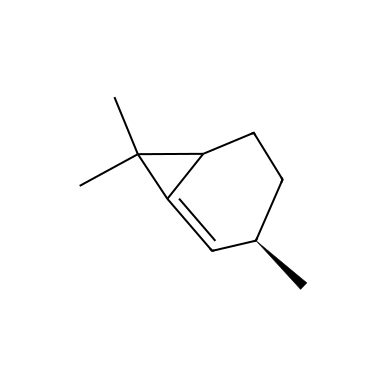 C[C@H]1C=C2C(CC1)C2(C)C